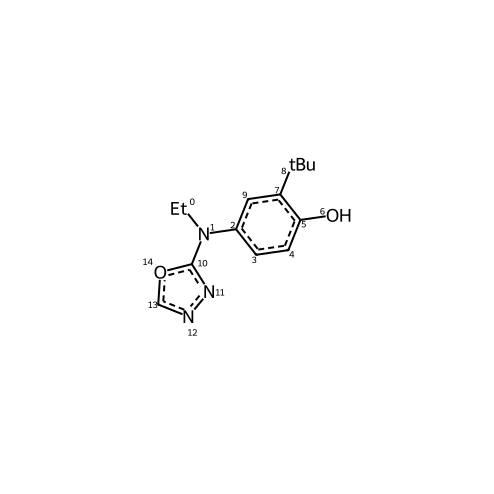 CCN(c1ccc(O)c(C(C)(C)C)c1)c1nnco1